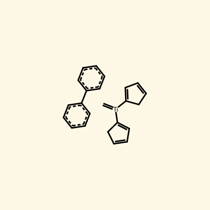 [CH2]=[Ti]([C]1=CC=CC1)[C]1=CC=CC1.c1ccc(-c2ccccc2)cc1